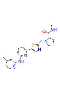 CNC(=O)[C@@H]1CCCN1Cc1ncc(-c2cccc(Nc3cc(C)ccn3)n2)s1